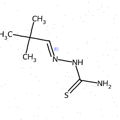 CC(C)(C)/C=N/NC(N)=S